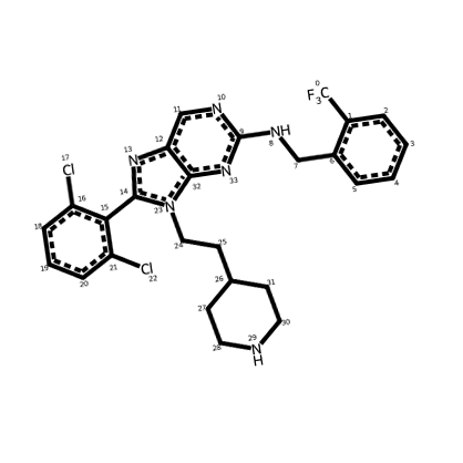 FC(F)(F)c1ccccc1CNc1ncc2nc(-c3c(Cl)cccc3Cl)n(CCC3CCNCC3)c2n1